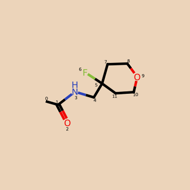 CC(=O)NCC1(F)CCOCC1